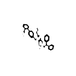 CCCCc1nc2c(n1Cc1ccc(-c3ccccc3C#N)cc1)C[C@@H](CO)N(C(=O)C(c1ccccc1)c1ccccc1)C2